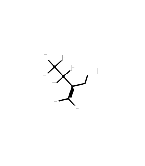 CCC(=C(F)F)C(F)(F)C(F)(F)F